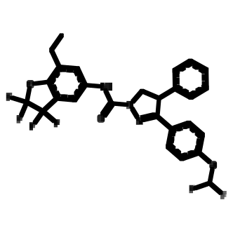 CCc1cc(NC(=O)N2CC(c3ccccc3)C(c3ccc(OC(F)F)cc3)=N2)cc2c1OC(F)(F)C2(F)F